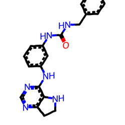 O=C(NCc1ccccc1)Nc1cccc(Nc2ncnc3c2NCC3)c1